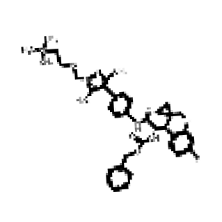 Cc1nn(COCC[Si](C)(C)C)c(C)c1-c1ccc(NC(=O)[C@@H](NC(=O)OCc2ccccc2)C2c3ccc(F)cc3OCC23CC3)cc1